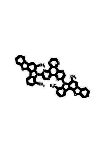 Cc1cccc2c3c4oc5ccccc5c4cc(C)c3n(-c3cnc4c5nccnc5c5nc(-n6c7c(C)cccc7c7c8oc9ccccc9c8cc(C)c76)cnc5c4n3)c12